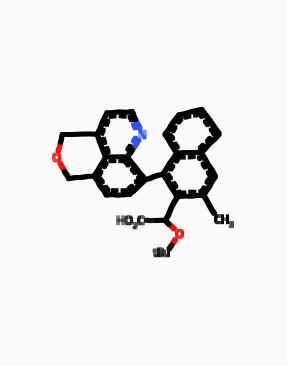 Cc1cc2ccccc2c(-c2ccc3c4c(ccnc24)COC3)c1C(OC(C)(C)C)C(=O)O